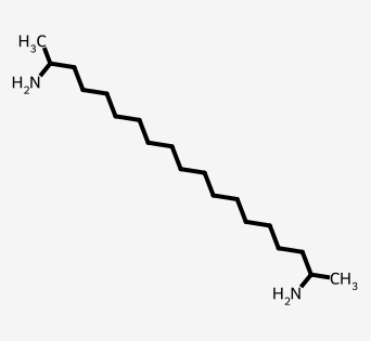 CC(N)CCCCCCCCCCCCCCCC(C)N